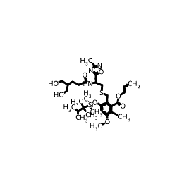 C=CCOC(=O)c1c(C)c(OC)cc(O[Si](C)(C)C(C)(C)C(C)C)c1CSCC(NC(=O)CCC(CO)CO)c1nc(C)no1